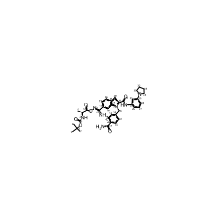 C[C@H](NC(=O)OC(C)(C)C)C(=O)O/N=C(\N)c1ccc2cc(C(=O)Nc3cccc(N4CCCC4)c3)n(Cc3ccc(C(N)=O)cc3)c2c1